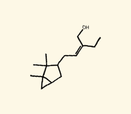 CCC(=CCC1CC2CC2(C)C1(C)C)CO